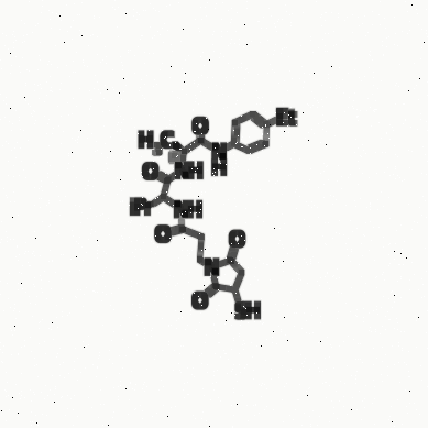 CCc1ccc(NC(=O)[C@H](C)NC(=O)C(NC(=O)CCN2C(=O)CC(S)C2=O)C(C)C)cc1